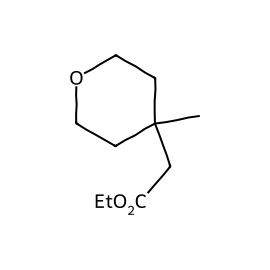 CCOC(=O)CC1(C)CCOCC1